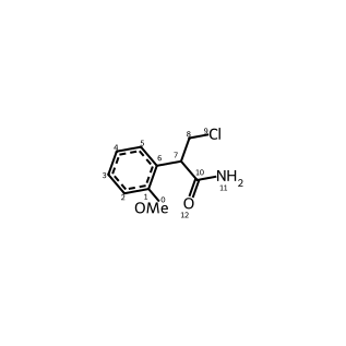 COc1ccccc1C(CCl)C(N)=O